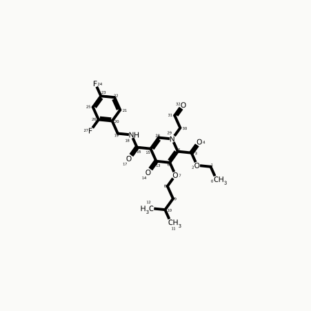 CCOC(=O)c1c(OCCC(C)C)c(=O)c(C(=O)NCc2ccc(F)cc2F)cn1CC=O